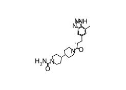 Cc1cc(C[CH]C(=O)N2CCC(C3CCN(C(N)=O)CC3)CC2)cc2nn[nH]c12